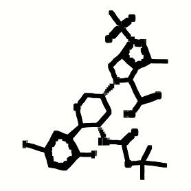 Cc1nn(S(C)(=O)=O)c2c1C(C(=O)O)N([C@H]1CO[C@H](c3cc(F)ccc3F)[C@@H](NC(=O)OC(C)(C)C)C1)C2